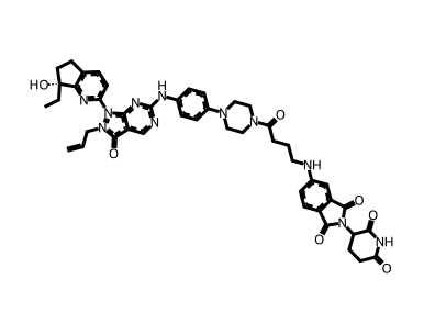 C=CCn1c(=O)c2cnc(Nc3ccc(N4CCN(C(=O)CCCNc5ccc6c(c5)C(=O)N(C5CCC(=O)NC5=O)C6=O)CC4)cc3)nc2n1-c1ccc2c(n1)[C@@](O)(CC)CC2